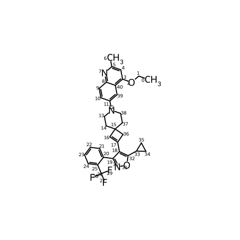 CCOc1cc(C)nc2ccc(N3CCC4(C=C(c5c(-c6ccccc6C(F)(F)F)noc5C5CC5)C4)CC3)cc12